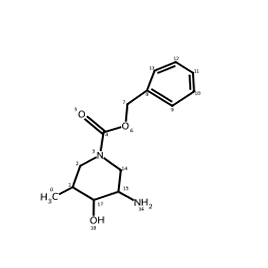 CC1CN(C(=O)OCc2ccccc2)CC(N)C1O